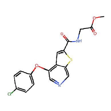 COC(=O)CNC(=O)c1cc2c(Oc3ccc(Cl)cc3)cncc2s1